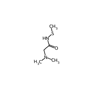 CSNC(=O)CN(C)C